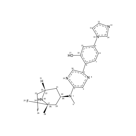 CN(c1cnc(-c2ccc(-n3ccnc3)cc2O)cn1)[C@@H]1C[C@H]2CC(F)(F)[C@@](C)(C1)N2